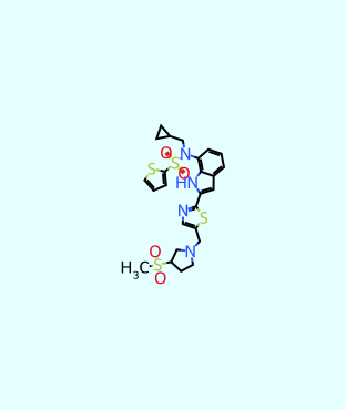 CS(=O)(=O)C1CCN(Cc2cnc(-c3cc4cccc(N(CC5CC5)S(=O)(=O)c5cccs5)c4[nH]3)s2)C1